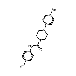 CC(=O)c1ccc(N2CCN(C(=O)Nc3ccc(C(C)C)cc3)CC2)nc1